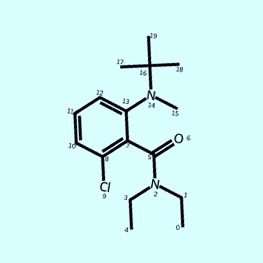 CCN(CC)C(=O)c1c(Cl)cccc1N(C)C(C)(C)C